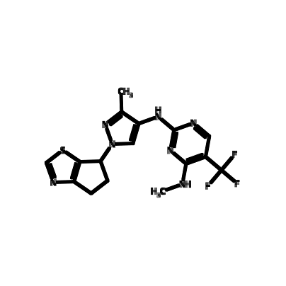 CNc1nc(Nc2cn(C3CCc4ncsc43)nc2C)ncc1C(F)(F)F